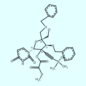 COC(=O)C(=O)O[C@@]1(C#C[Si](C)(C)C)[C@H](OCc2ccccc2)[C@@](CCl)(COCc2ccccc2)O[C@H]1n1ccc(=O)[nH]c1=O